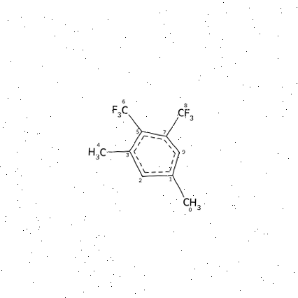 Cc1cc(C)c(C(F)(F)F)c(C(F)(F)F)c1